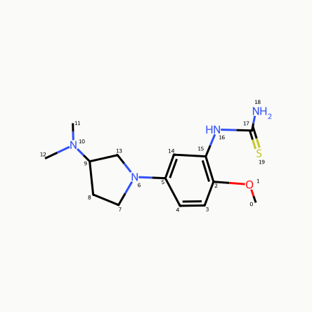 COc1ccc(N2CCC(N(C)C)C2)cc1NC(N)=S